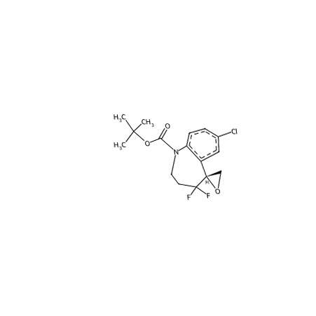 CC(C)(C)OC(=O)N1CCC(F)(F)[C@]2(CO2)c2cc(Cl)ccc21